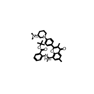 Cc1cc([C@@H](C)Nc2ccccc2C(=O)OC(C)(C)C)c2oc(-c3ccc(N4CCC[C@H](N(C)C)C4)cc3)c(C)c(=O)c2c1